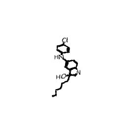 CCCCCCC1(O)C=Nc2ccc(Nc3ccc(Cl)cc3)cc21